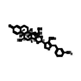 COc1c([C@@H]2O[C@@H]3C[C@H]4[C@@H]5CCC6=CC(=O)C=C[C@]6(C)[C@H]5[C@@H](O)C[C@]4(C)[C@]3(C(=O)CO)O2)csc1Cc1cccc(N)c1